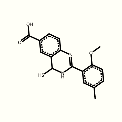 COc1ccc(C)cc1C1=Nc2ccc(C(=O)O)cc2C(S)N1